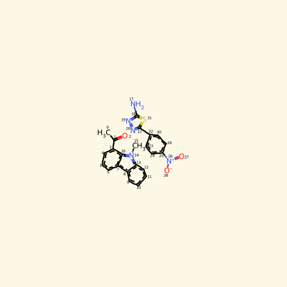 CC(=O)c1cccc2c3ccccc3n(C)c12.Nc1nnc(-c2ccc([N+](=O)[O-])cc2)s1